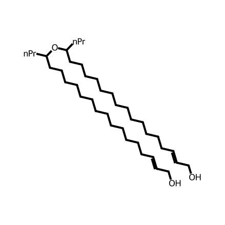 CCCC(CCCCCCCCCCCCCC=CCO)OC(CCC)CCCCCCCCCCCCCC=CCO